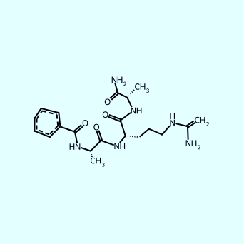 C=C(N)NCCC[C@H](NC(=O)[C@H](C)NC(=O)c1ccccc1)C(=O)N[C@@H](C)C(N)=O